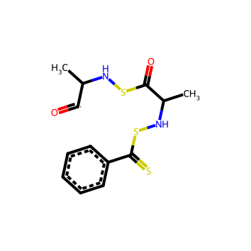 CC([C]=O)NSC(=O)C(C)NSC(=S)c1ccccc1